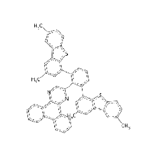 Cc1ccc2sc3c(-c4cccc(-c5cc(C)cc6c5sc5ccc(C)cc56)c4-c4cnc5c6ccccc6c6ccccc6c5n4)cc(C)cc3c2c1